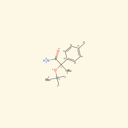 CCCCC(O[Si](C)(C)C(C)(C)C)(C(N)=O)c1ccc(C)cc1